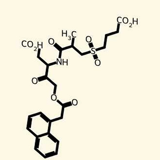 CC(CS(=O)(=O)CCCC(=O)O)C(=O)NC(CC(=O)O)C(=O)COC(=O)Cc1cccc2ccccc12